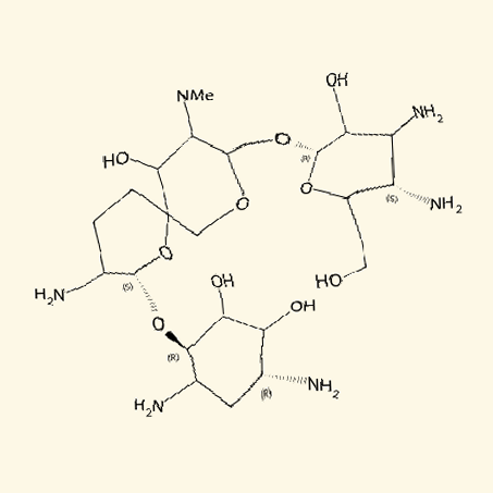 CNC1C(O[C@H]2OC(CO)[C@@H](N)C(N)C2O)OCC2(CCC(N)[C@@H](O[C@@H]3C(N)C[C@@H](N)C(O)C3O)O2)C1O